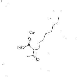 CCCCCCCCC(C(C)=O)C(=O)O.[Cu]